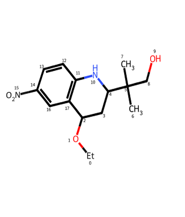 CCOC1CC(C(C)(C)CO)Nc2ccc([N+](=O)[O-])cc21